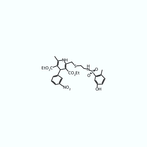 CCOC(=O)C1=C(C)NC(CSCCNS(=O)(=O)c2cc(O)ccc2C)=C(C(=O)OCC)C1c1cccc([N+](=O)[O-])c1